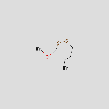 CC(C)OC1SSCCC1C(C)C